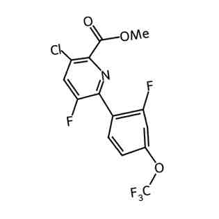 COC(=O)c1nc(-c2ccc(OC(F)(F)F)cc2F)c(F)cc1Cl